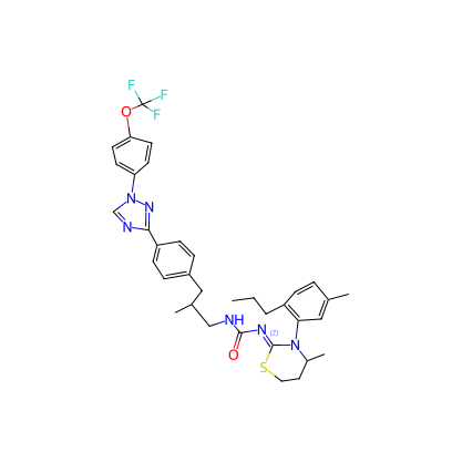 CCCc1ccc(C)cc1N1/C(=N/C(=O)NCC(C)Cc2ccc(-c3ncn(-c4ccc(OC(F)(F)F)cc4)n3)cc2)SCCC1C